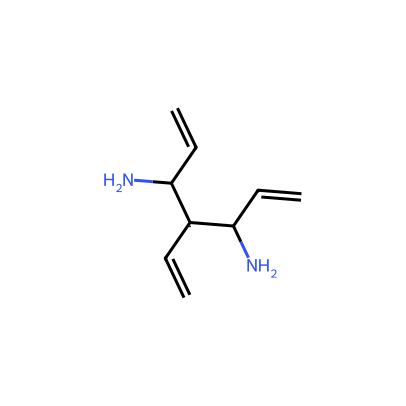 C=C[C](C(N)C=C)C(N)C=C